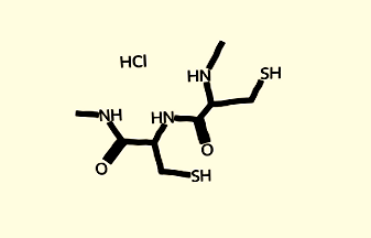 CNC(=O)C(CS)NC(=O)C(CS)NC.Cl